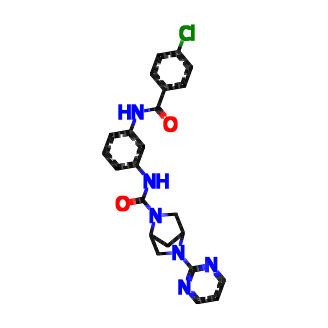 O=C(Nc1cccc(NC(=O)N2CC3CC2CN3c2ncccn2)c1)c1ccc(Cl)cc1